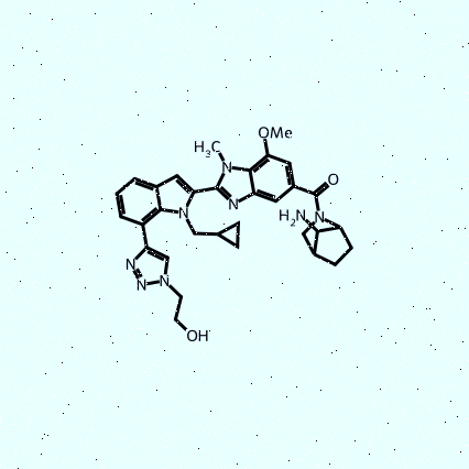 COc1cc(C(=O)N2CC3CCC2C3N)cc2nc(-c3cc4cccc(-c5cn(CCO)nn5)c4n3CC3CC3)n(C)c12